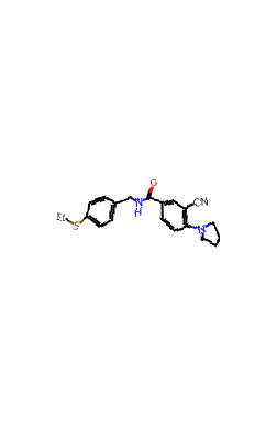 CCSc1ccc(CNC(=O)c2ccc(N3CCCC3)c(C#N)c2)cc1